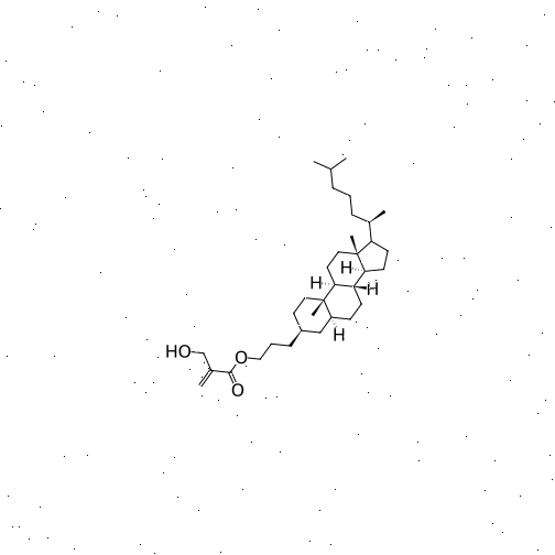 C=C(CO)C(=O)OCCC[C@H]1CC[C@@]2(C)[C@@H](CC[C@@H]3[C@@H]2CC[C@]2(C)C([C@H](C)CCCC(C)C)CC[C@@H]32)C1